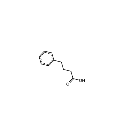 O=C(O)CCCc1c[c]ccc1